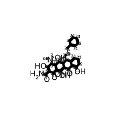 CN(C)[C@@H]1C(O)=C(C(N)=O)C(=O)[C@@]2(O)C(O)=C3C(=O)c4c(O)cccc4[C@H](CSCc4ccccc4)[C@H]3[C@H](O)[C@@H]12